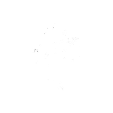 CCCOc1cccc(Cn2c(=O)[nH]c3cc4onc(C)c4c(S(=O)(=O)c4ccccc4OC)c32)c1